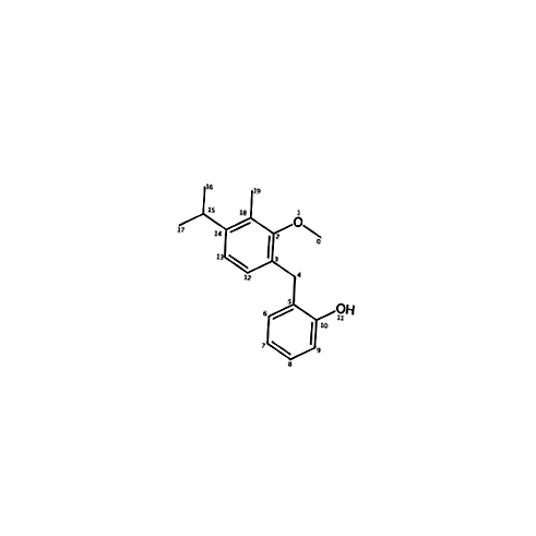 COc1c(Cc2ccccc2O)ccc(C(C)C)c1C